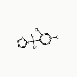 Clc1ccc(C(Cl)(Br)n2cccn2)c(Cl)c1